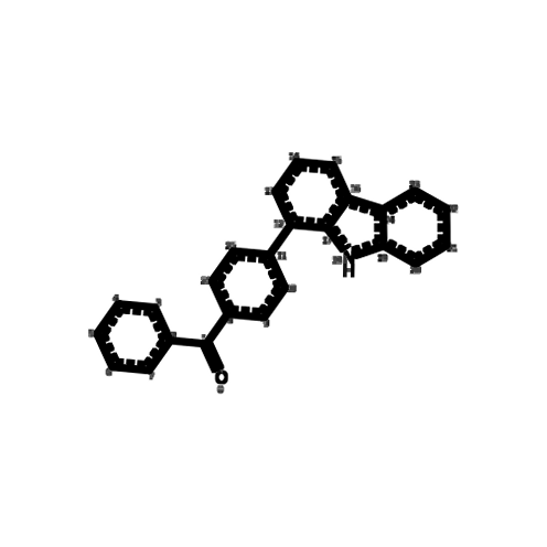 O=C(c1ccccc1)c1ccc(-c2cccc3c2[nH]c2ccccc23)cc1